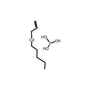 C=C[CH2][Cd][CH2]CCCC.OP(O)O